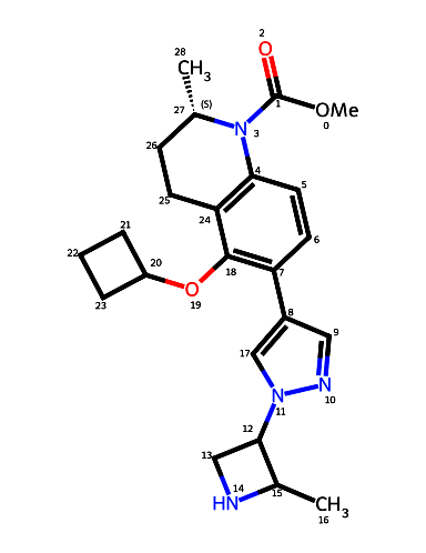 COC(=O)N1c2ccc(-c3cnn(C4CNC4C)c3)c(OC3CCC3)c2CC[C@@H]1C